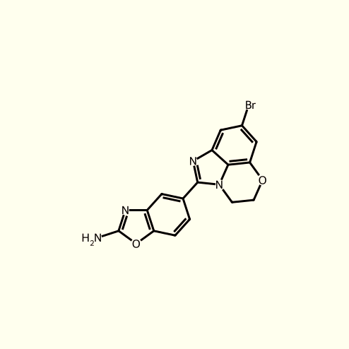 Nc1nc2cc(-c3nc4cc(Br)cc5c4n3CCO5)ccc2o1